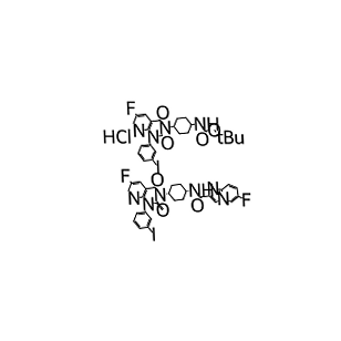 CC(C)(C)OC(=O)N[C@H]1CC[C@@H](n2c(=O)c3cc(F)cnc3n(-c3cccc(I)c3)c2=O)CC1.Cl.O=C(N[C@H]1CC[C@@H](n2c(=O)c3cc(F)cnc3n(-c3cccc(I)c3)c2=O)CC1)c1cn2cc(F)ccc2n1